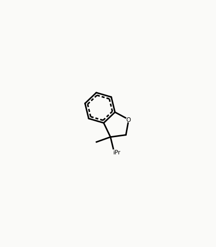 CC(C)C1(C)COc2ccccc21